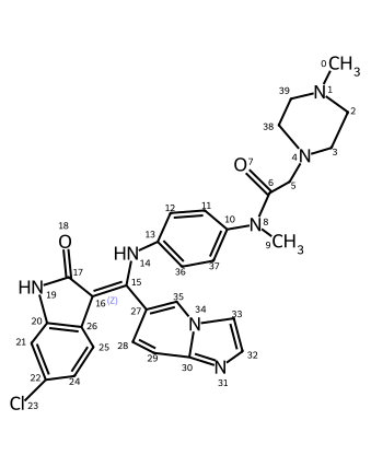 CN1CCN(CC(=O)N(C)c2ccc(N/C(=C3\C(=O)Nc4cc(Cl)ccc43)c3ccc4nccn4c3)cc2)CC1